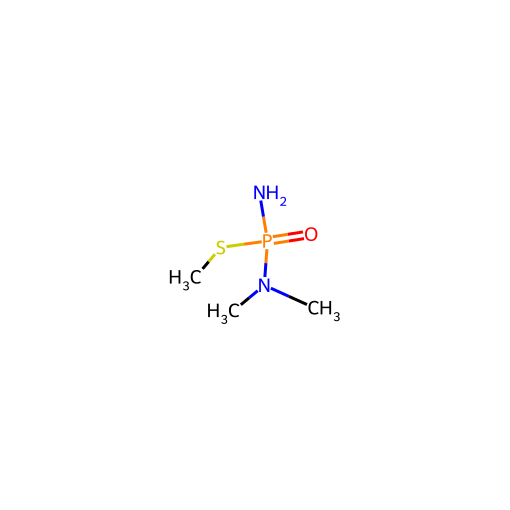 CSP(N)(=O)N(C)C